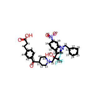 O=C(O)CCc1ccc(C(=O)C2CCN(CC(O)(c3cn(Cc4ccccc4)c4cc([N+](=O)[O-])ccc34)C(F)(F)F)CC2)cc1